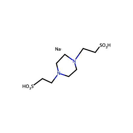 O=S(=O)(O)CCN1CCN(CCS(=O)(=O)O)CC1.[Na]